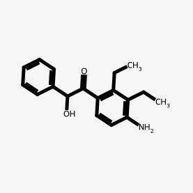 CCc1c(N)ccc(C(=O)C(O)c2ccccc2)c1CC